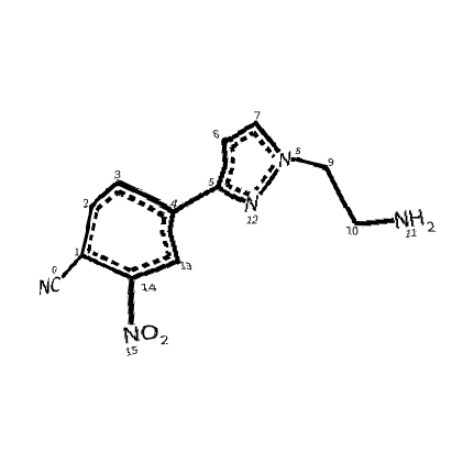 N#Cc1ccc(-c2ccn(CCN)n2)cc1[N+](=O)[O-]